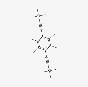 Cc1c(C)c(C#C[Si](C)(C)C)c(C)c(C)c1C#C[Si](C)(C)C